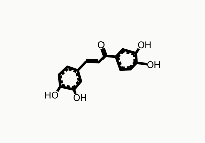 O=C(C=Cc1ccc(O)c(O)c1)c1ccc(O)c(O)c1